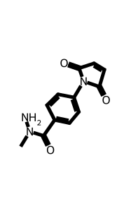 CN(N)C(=O)c1ccc(N2C(=O)C=CC2=O)cc1